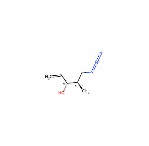 C=C[C@@H](O)[C@H](C)CN=[N+]=[N-]